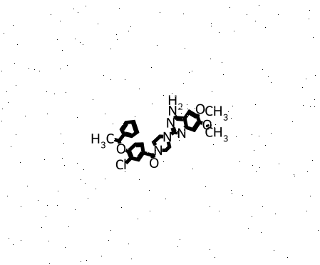 COc1cc2nc(N3CCN(C(=O)c4ccc(OC(C)c5ccccc5)c(Cl)c4)CC3)nc(N)c2cc1OC